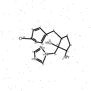 CCCC1CCC(Cc2ccc(Cl)cc2)C1(O)Cn1cncn1